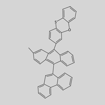 Cc1ccc2c(-c3cc4ccccc4c4ccccc34)c3ccccc3c(-c3ccc4c(c3)Oc3ccccc3S4)c2c1